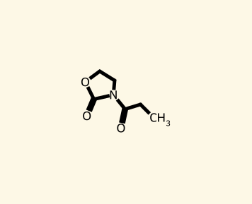 CCC(=O)N1CCOC1=O